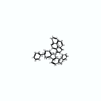 C1=CC2=C3C(=CC=C4C(n5c6ccc(-c7ccccc7)nc6c6ccc7sc8ccccc8c7c65)=CC=C(C=C2)C43)C1